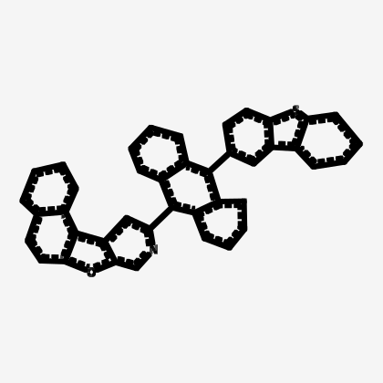 c1ccc2c(c1)ccc1oc3cnc(-c4c5ccccc5c(-c5ccc6sc7ccccc7c6c5)c5ccccc45)cc3c12